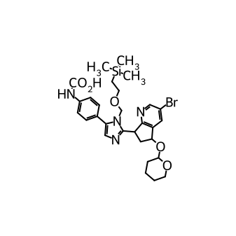 C[Si](C)(C)CCOCn1c(-c2ccc(NC(=O)O)cc2)cnc1C1CC(OC2CCCCO2)c2cc(Br)cnc21